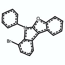 Brc1cccc2c3c4ccccc4oc3n(-c3ccccc3)c12